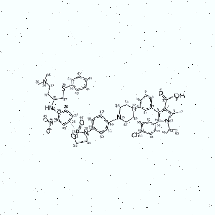 Cc1c(C(=O)O)c(-c2cccc(N3CCN(c4ccc(N5C=CO[P@]5(=O)c5ccc(NC(CCN(C)C)CSc6ccccc6)c([N+](=O)[O-])c5)cc4)CC3)c2)c(-c2ccc(Cl)cc2)n1C(C)C